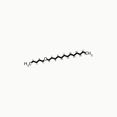 CCCC[CH]OCCCCCCCCCCCCC